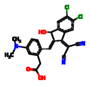 CN(C)c1ccc(C=C2C(=C(C#N)C#N)c3cc(Cl)c(Cl)cc3C2O)c(CC(=O)O)c1